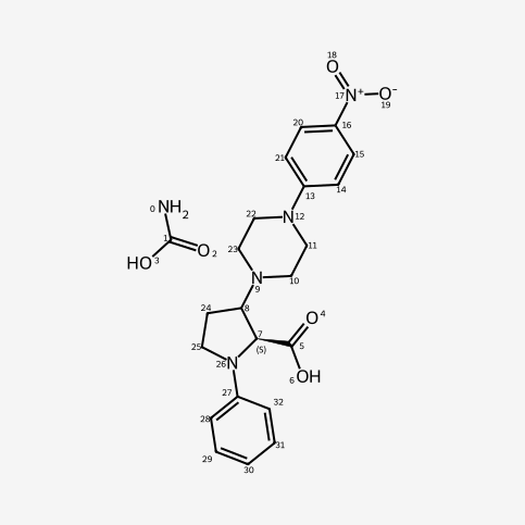 NC(=O)O.O=C(O)[C@@H]1C(N2CCN(c3ccc([N+](=O)[O-])cc3)CC2)CCN1c1ccccc1